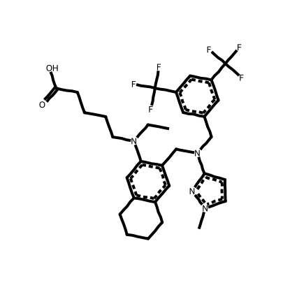 CCN(CCCCC(=O)O)c1cc2c(cc1CN(Cc1cc(C(F)(F)F)cc(C(F)(F)F)c1)c1ccn(C)n1)CCCC2